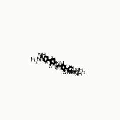 COc1cc(C(=O)Nc2ccc(C3=CCN(C(=N)N)CC3)c(C)c2)ccc1C1=CCN(C(=N)N)CC1